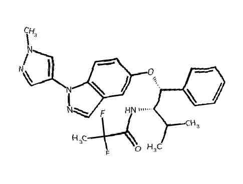 CC(C)[C@H](NC(=O)C(C)(F)F)[C@H](Oc1ccc2c(cnn2-c2cnn(C)c2)c1)c1ccccc1